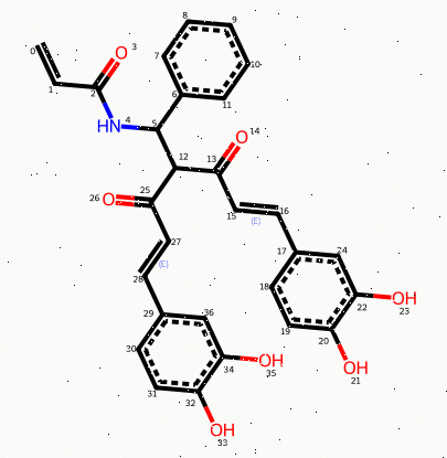 C=CC(=O)NC(c1ccccc1)C(C(=O)/C=C/c1ccc(O)c(O)c1)C(=O)/C=C/c1ccc(O)c(O)c1